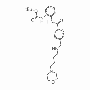 CC(C)(C)OC(=O)Nc1ccccc1NC(=O)c1ccc(CNCCCCN2CCOCC2)cn1